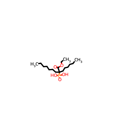 CCCCCCCC(CCCCCC)(C(=O)OCC)P(=O)(O)O